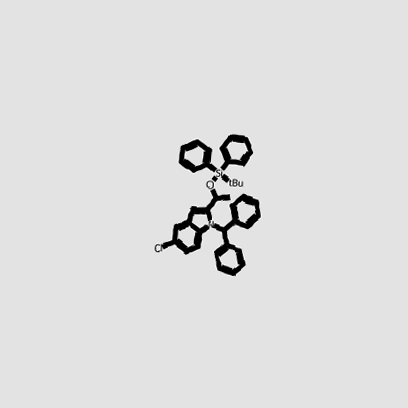 CC(O[Si](c1ccccc1)(c1ccccc1)C(C)(C)C)c1[c]c2cc(Cl)ccc2n1C(c1ccccc1)c1ccccc1